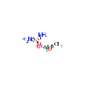 [CH2]C(COC(=O)/C=C/c1ccc(C(F)(F)Oc2ccc(CC(F)(F)F)cc2)cc1)(Cc1ccc(N)cc1)Cc1ccc(N)cc1